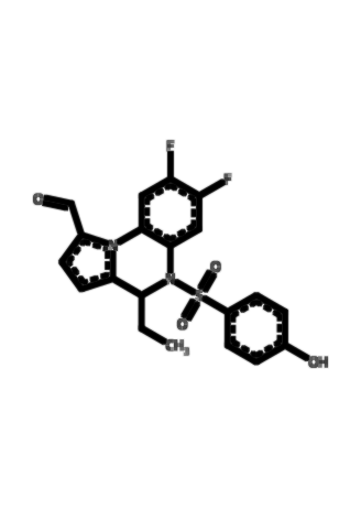 CCC1c2ccc(C=O)n2-c2cc(F)c(F)cc2N1S(=O)(=O)c1ccc(O)cc1